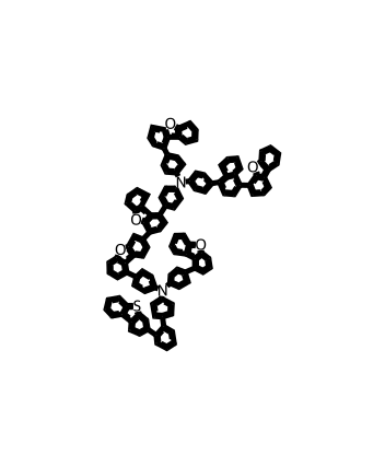 c1ccc(-c2ccc3c(c2)sc2ccccc23)c(-c2ccc(N(c3ccc(-c4cccc5oc6ccccc6c45)cc3)c3ccc(-c4cccc5oc6cc(-c7ccc(-c8ccc(N(c9ccc(-c%10ccc(-c%11cccc%12c%11oc%11ccccc%11%12)c%11ccccc%10%11)cc9)c9ccc(-c%10cccc%11oc%12ccccc%12c%10%11)cc9)cc8)c8c7oc7ccccc78)ccc6c45)cc3)cc2)c1